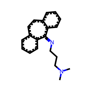 CN(C)CCCN=c1c2ccccc2ccc2ccccc12